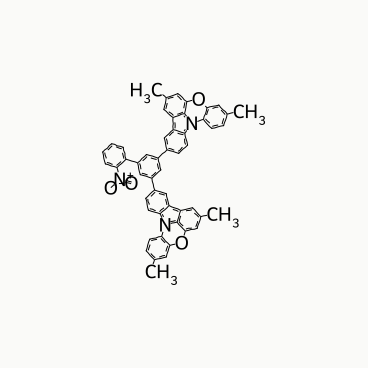 Cc1ccc2c(c1)Oc1cc(C)cc3c4cc(-c5cc(-c6ccc7c(c6)c6cc(C)cc8c6n7-c6ccc(C)cc6O8)cc(-c6ccccc6[N+](=O)[O-])c5)ccc4n-2c13